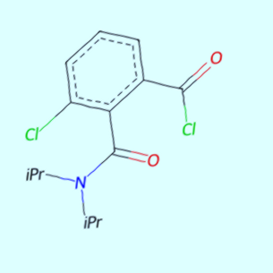 CC(C)N(C(=O)c1c(Cl)cccc1C(=O)Cl)C(C)C